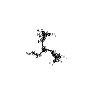 CNC(=O)OCCOC(=O)NCCCCCCn1c(=O)n(CCCCCCNC(=O)Oc2ccc(-c3nc(-c4ccc(C)cc4C)nc(-c4ccc(C)cc4C)n3)c(O)c2)c(=O)n(CCCCCCNC(=O)Oc2ccc(-c3nc(-c4ccc(C)cc4C)nc(-c4ccc(C)cc4C)n3)c(O)c2)c1=O